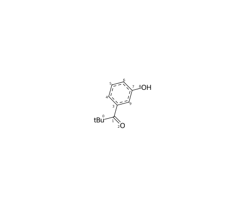 CC(C)(C)C(=O)c1cccc(O)c1